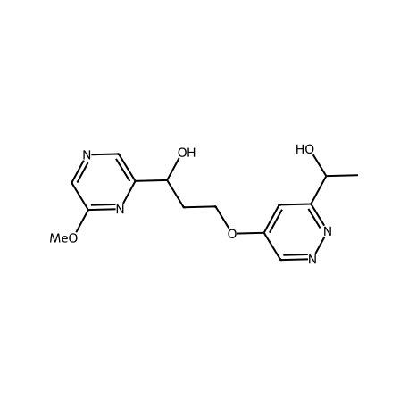 COc1cncc(C(O)CCOc2cnnc(C(C)O)c2)n1